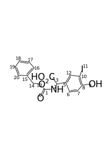 O=C(NC(C(=O)O)c1ccc(O)c(I)c1)OCc1ccccc1